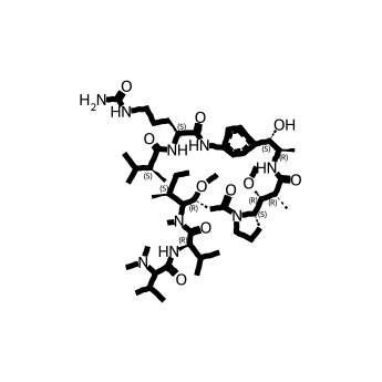 CC[C@H](C)C([C@@H](CC(=O)N1CCC[C@H]1[C@H](OC)[C@@H](C)C(=O)N[C@H](C)[C@@H](O)c1ccc(NC(=O)[C@H](CCCNC(N)=O)NC(=O)[C@@H](C)C(C)C)cc1)OC)N(C)C(=O)[C@H](NC(=O)C(C(C)C)N(C)C)C(C)C